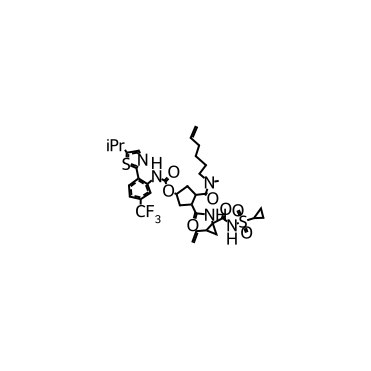 C=CCCCCN(C)C(=O)C1CC(OC(=O)Nc2cc(C(F)(F)F)ccc2-c2ncc(C(C)C)s2)CC1C(=O)NC1(C(=O)NS(=O)(=O)C2CC2)CC1C=C